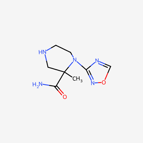 CC1(C(N)=O)CNCCN1c1ncon1